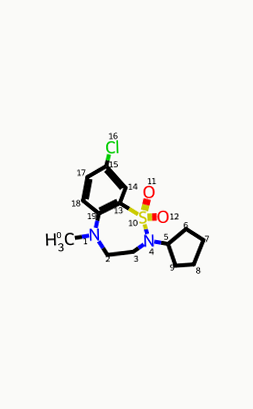 CN1CCN(C2CCCC2)S(=O)(=O)c2cc(Cl)ccc21